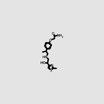 Cc1nc(C(O)CNCC(C)c2ccc(OCC(N)=O)cc2)cs1